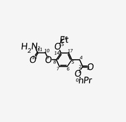 CCCOC(=O)Cc1ccc(OCC(N)=O)c(OCC)c1